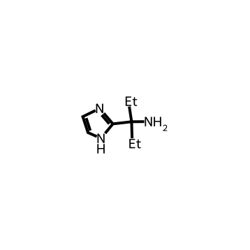 CCC(N)(CC)c1ncc[nH]1